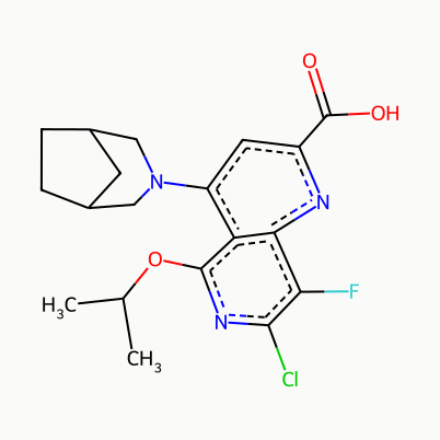 CC(C)Oc1nc(Cl)c(F)c2nc(C(=O)O)cc(N3CC4CCC(C4)C3)c12